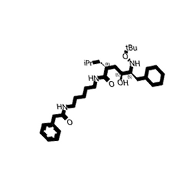 CC(C)C[C@H](C[C@H](O)[C@H](CC1CCCCC1)NOC(C)(C)C)C(=O)NCCCCCNC(=O)Cc1ccccc1